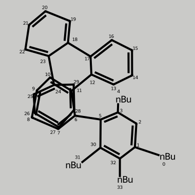 CCCCc1cc(CCCC)c(-c2ccccc2-c2ccccc2-c2ccccc2-c2ccccc2)c(CCCC)c1CCCC